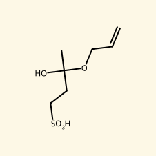 C=CCOC(C)(O)CCS(=O)(=O)O